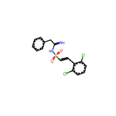 N=C(Cc1ccccc1)NS(=O)(=O)/C=C/c1c(Cl)cccc1Cl